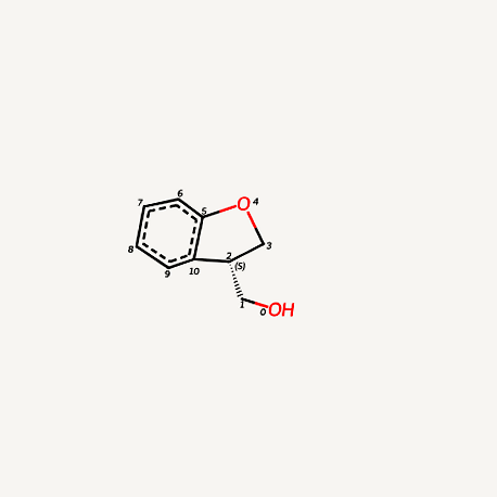 OC[C@H]1COc2ccccc21